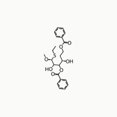 CCS[C@H](OC)C(O)C(OC(=O)c1ccccc1)[C@H](O)CCOC(=O)c1ccccc1